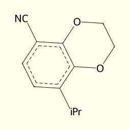 CC(C)c1ccc(C#N)c2c1OCCO2